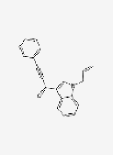 C=CCn1cc(C(=O)C#Cc2ccccc2)c2ccccc21